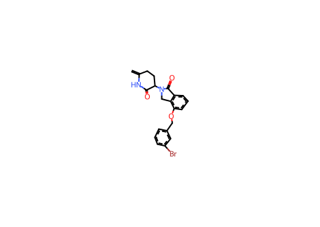 C=C1CCC(N2Cc3c(OCc4cccc(Br)c4)cccc3C2=O)C(=O)N1